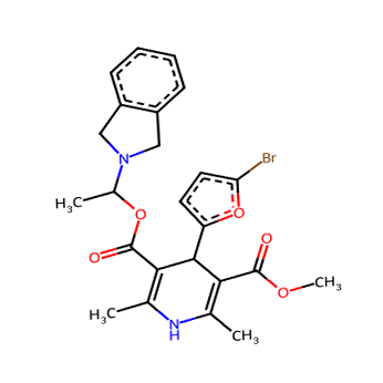 COC(=O)C1=C(C)NC(C)=C(C(=O)OC(C)N2Cc3ccccc3C2)C1c1ccc(Br)o1